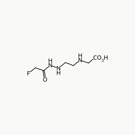 O=C(O)CNCCNNC(=O)CF